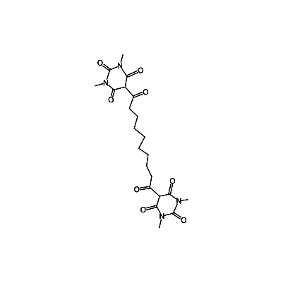 CN1C(=O)C(C(=O)CCCCCCCCC(=O)C2C(=O)N(C)C(=O)N(C)C2=O)C(=O)N(C)C1=O